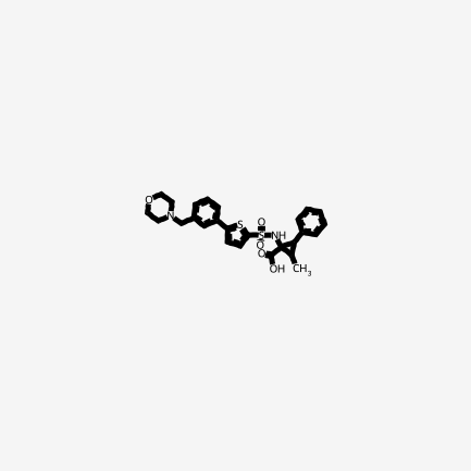 CC1C(c2ccccc2)C1(NS(=O)(=O)c1ccc(-c2cccc(CN3CCOCC3)c2)s1)C(=O)O